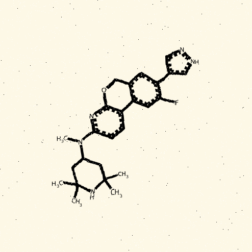 CN(c1ccc2c(n1)OCc1cc(-c3cn[nH]c3)c(F)cc1-2)C1CC(C)(C)NC(C)(C)C1